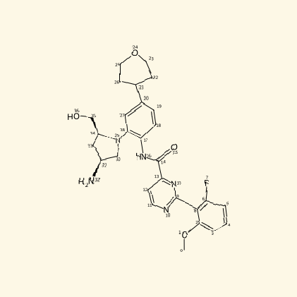 COc1cccc(F)c1-c1nccc(C(=O)Nc2ccc(C3CCOCC3)cc2N2C[C@@H](N)C[C@H]2CO)n1